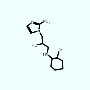 O=[N+]([O-])c1nccn1CC(O)CNC1CCCCC1Br